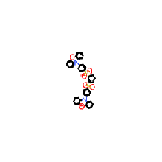 O=S(=O)(c1ccc(N2c3ccccc3Oc3ccccc32)cc1)c1cccc(S(=O)(=O)c2ccc(N3c4ccccc4Oc4ccccc43)cc2)c1